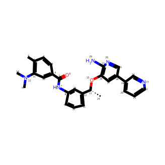 Cc1ccc(C(=O)Nc2cccc([C@@H](C)Oc3cc(-c4cccnc4)cnc3N)c2)cc1N(C)C